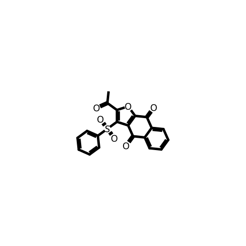 CC(=O)c1oc2c(c1S(=O)(=O)c1ccccc1)C(=O)c1ccccc1C2=O